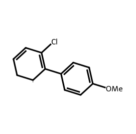 COc1ccc(C2=C(Cl)C=CC[CH]2)cc1